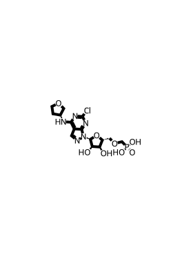 O=P(O)(O)COC[C@H]1O[C@@H](n2ncc3c(N[C@@H]4CCOC4)nc(Cl)nc32)[C@H](O)[C@@H]1O